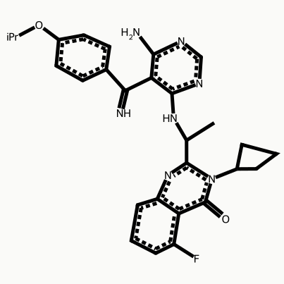 CC(C)Oc1ccc(C(=N)c2c(N)ncnc2NC(C)c2nc3cccc(F)c3c(=O)n2C2CCC2)cc1